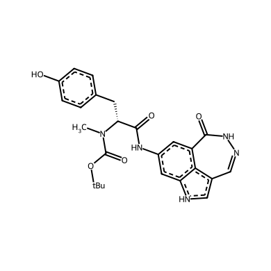 CN(C(=O)OC(C)(C)C)[C@H](Cc1ccc(O)cc1)C(=O)Nc1cc2c3c(c[nH]c3c1)C=NNC2=O